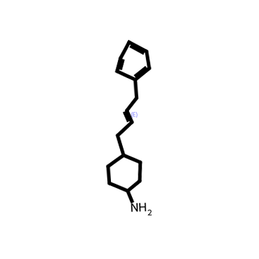 NC1CCC(C/C=C/Cc2ccccc2)CC1